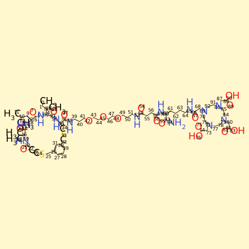 CC[C@H](C)[C@@H]1NC(=O)[C@H](CC(C)C)NC(=O)C(C)(C)NC(=O)CCSCc2cccc(c2)CSC[C@@H](C(=O)NCCCOCCOCCOCCCNC(=O)CCC(=O)N[C@@H](CCCCNC(=O)CN2CCN(CC(=O)O)CCN(CC(=O)O)CCN(CC(=O)O)CC2)C(N)=O)NC1=O